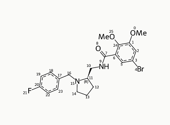 COc1cc(Br)cc(C(=O)NC[C@H]2CCCN2Cc2ccc(F)cc2)c1OC